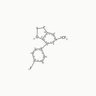 Fc1ccc(-c2cc(C(F)(F)F)cc3c2O[CH]C3)cc1